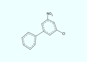 O=[N+]([O-])c1cc(Cl)cc(-c2ccccc2)c1